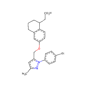 CCc1ccc(-n2nc(C)cc2COc2ccc3c(c2)CCCC3CC(=O)O)cc1